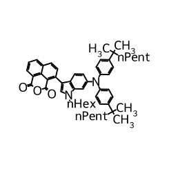 CCCCCCn1cc(-c2ccc3cccc4c3c2C(=O)OC4=O)c2ccc(N(c3ccc(C(C)(C)CCCCC)cc3)c3ccc(C(C)(C)CCCCC)cc3)cc21